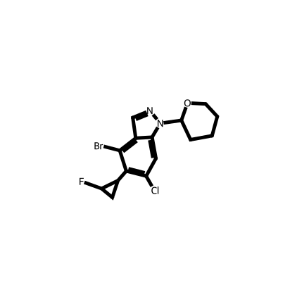 FC1CC1c1c(Cl)cc2c(cnn2C2CCCCO2)c1Br